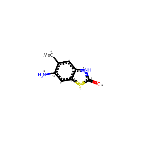 COc1cc2[nH]c(=O)sc2cc1N